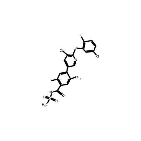 Cc1cc(C(=O)NS(C)(=O)=O)c(F)cc1-c1cnc(Oc2cc(Cl)ccc2F)c(Cl)c1